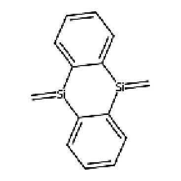 C=[Si]1c2ccccc2[Si](=C)c2ccccc21